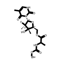 Cc1c[nH]c(=O)n([C@@H]2O[C@@H](COC(=O)C(C)NC(=O)OC(C)(C)C)[C@](C)(O)[C@@]2(C)F)c1=O